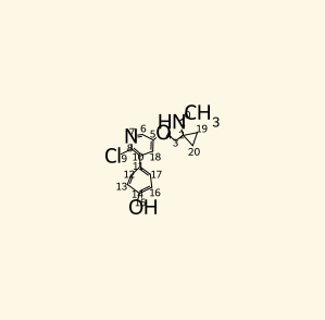 CNC1(COc2cnc(Cl)c(-c3ccc(O)cc3)c2)CC1